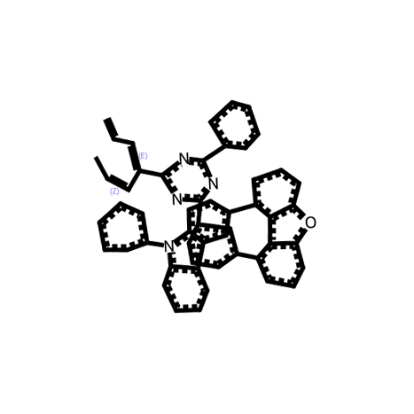 C=C/C=C(\C=C/C)c1nc(-c2ccccc2)nc(-c2cccc(-c3cccc4oc5cccc(-c6ccc7c(c6)c6ccccc6n7-c6ccccc6)c5c34)c2)n1